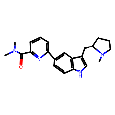 CN(C)C(=O)c1cccc(-c2ccc3[nH]cc(C[C@H]4CCCN4C)c3c2)n1